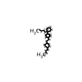 C=CCCCC1(c2ccc(CCC3CCC(CCCC)CC3)cc2)CCCCC1